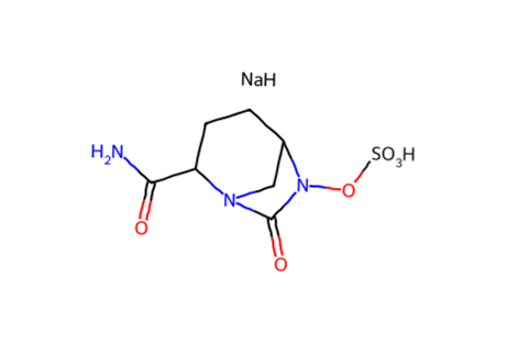 NC(=O)C1CCC2CN1C(=O)N2OS(=O)(=O)O.[NaH]